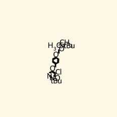 CC(C)(C)n1ncc(OCc2ccc(OCCO[Si](C)(C)C(C)(C)C)cc2)c(Cl)c1=O